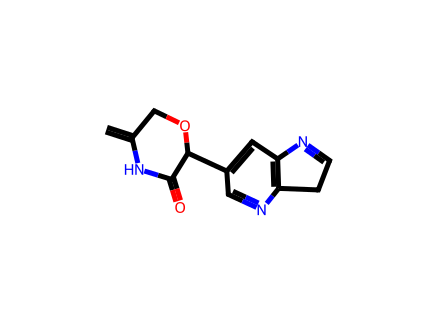 C=C1COC(c2cnc3c(c2)N=CC3)C(=O)N1